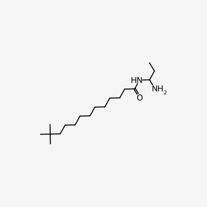 CCC(N)NC(=O)CCCCCCCCCCC(C)(C)C